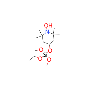 CCO[Si](OC)(OC)OC1CC(C)(C)N(O)C(C)(C)C1